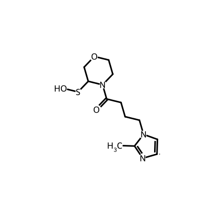 Cc1n[c]cn1CCCC(=O)N1CCOCC1SO